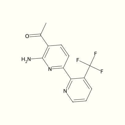 CC(=O)c1ccc(-c2ncccc2C(F)(F)F)nc1N